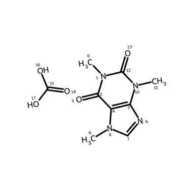 Cn1c(=O)c2c(ncn2C)n(C)c1=O.O=C(O)O